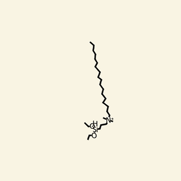 CCCCCCCCCCCCCCCCCC[N+](C)(C)CCC[SiH](OCC)OCC